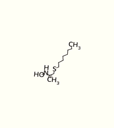 CCCCCCCCSC[C@H](C)NO